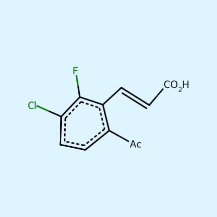 CC(=O)c1ccc(Cl)c(F)c1C=CC(=O)O